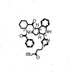 CC(C)(C)C(=O)CCn1cnc([C@@H]2Nc3ccccc3[C@H]3[C@@H]2CCN3C(=O)C2CCCC[C@H]2NC(=O)c2ccccc2)c1